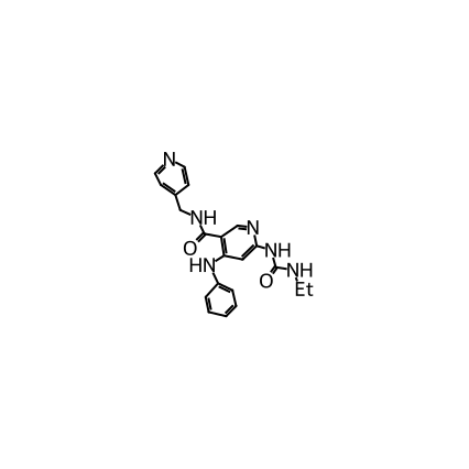 CCNC(=O)Nc1cc(Nc2ccccc2)c(C(=O)NCc2ccncc2)cn1